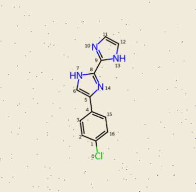 Clc1ccc(-c2c[nH]c(-c3ncc[nH]3)n2)cc1